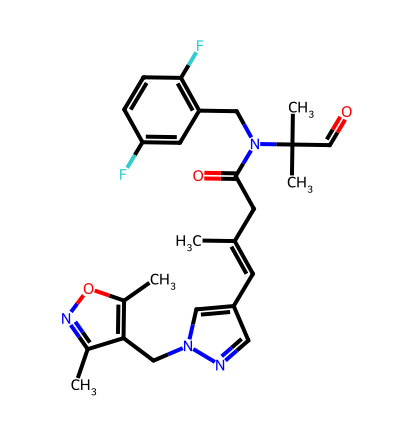 C/C(=C\c1cnn(Cc2c(C)noc2C)c1)CC(=O)N(Cc1cc(F)ccc1F)C(C)(C)C=O